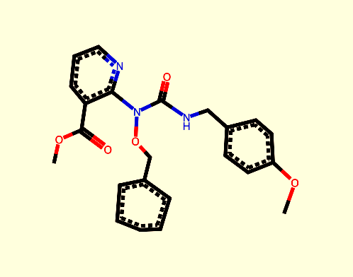 COC(=O)c1cccnc1N(OCc1ccccc1)C(=O)NCc1ccc(OC)cc1